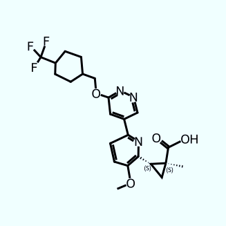 COc1ccc(-c2cnnc(OCC3CCC(C(F)(F)F)CC3)c2)nc1[C@H]1C[C@]1(C)C(=O)O